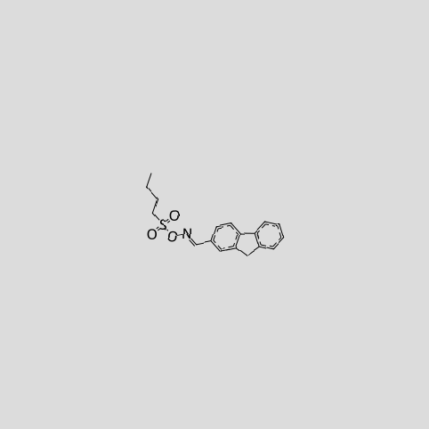 CCCCS(=O)(=O)ON=Cc1ccc2c(c1)Cc1ccccc1-2